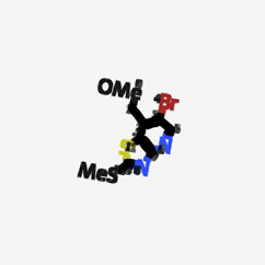 COCc1c(Br)cnc2nc(SC)sc12